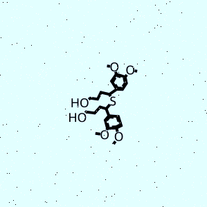 COc1ccc(C(CCCO)SC(CCCO)c2ccc(OC)c(OC)c2)cc1OC